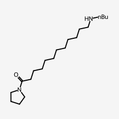 CCCCNCCCCCCCCCCCC(=O)N1CCCC1